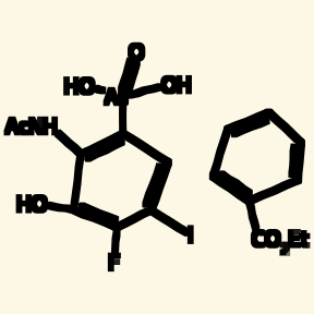 CC(=O)Nc1c([As](=O)(O)O)cc(I)c(F)c1O.CCOC(=O)c1ccccc1